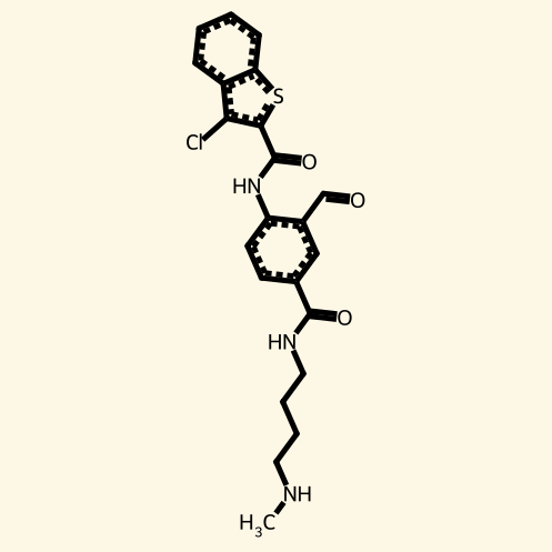 CNCCCCNC(=O)c1ccc(NC(=O)c2sc3ccccc3c2Cl)c(C=O)c1